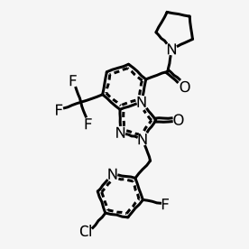 O=C(c1ccc(C(F)(F)F)c2nn(Cc3ncc(Cl)cc3F)c(=O)n12)N1CCCC1